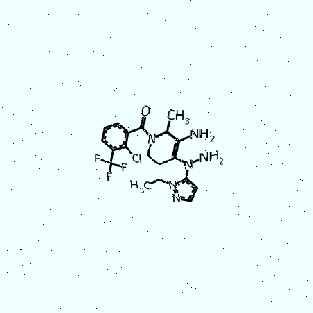 CCn1nccc1N(N)C1=C(N)C(C)N(C(=O)c2cccc(C(F)(F)F)c2Cl)CC1